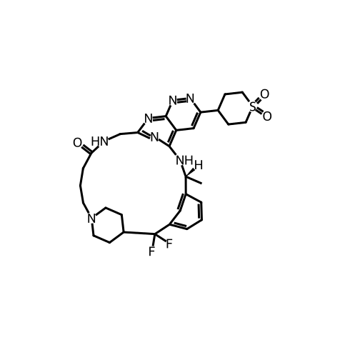 C[C@H]1Nc2nc(nc3nnc(C4CCS(=O)(=O)CC4)cc23)CNC(=O)CCCN2CCC(CC2)C(F)(F)c2cccc1c2